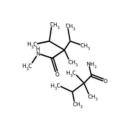 CC(C)C(C)(C)C(N)=O.CNC(=O)C(C)(C(C)C)C(C)C